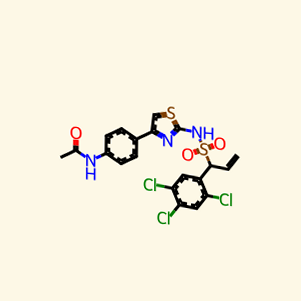 C=CC(c1cc(Cl)c(Cl)cc1Cl)S(=O)(=O)Nc1nc(-c2ccc(NC(C)=O)cc2)cs1